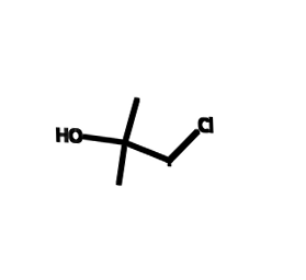 CC(C)(O)[CH]Cl